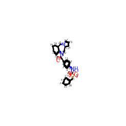 O=C(c1ccc(NS(=O)(=O)Cc2ccccc2)cc1)N1Cc2cccn2Cc2ccccc21